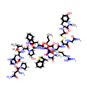 CCCC[C@@H](C(=O)N[C@@H](CCCNC(=N)N)C(=O)NC(CSCC(=O)N[C@@H](Cc1ccc(O)cc1)C(=O)NC)C(=O)NCC(N)=O)N(C)C(=O)[C@H](C)N(C)C(=O)[C@H](Cc1csc2ccccc12)NC(=O)[C@H](CO)NC(=O)[C@H](Cc1c[nH]c2ccccc12)NC(=O)[C@@H]1C[C@@H](O)CN1C(=O)[C@H](CC(C)C)NC(=O)[C@H](Cc1cnc[nH]1)NC(=O)[C@@H]1CCCN1C(=O)[C@@H](N)CC(N)=O